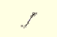 CCCCCSCC/C=C/CCCCOCCC(=O)O